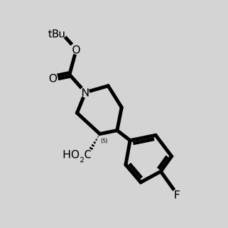 CC(C)(C)OC(=O)N1CCC(c2ccc(F)cc2)[C@H](C(=O)O)C1